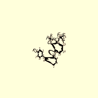 [O]c1ccc(-c2ccccc2Oc2cccc(OC(F)(F)F)c2OC(F)(F)F)cc1